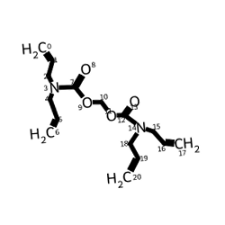 C=CCN(CC=C)C(=O)OCOC(=O)N(CC=C)CC=C